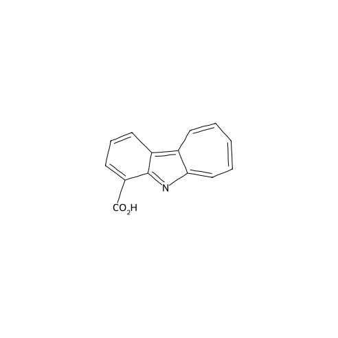 O=C(O)c1cccc2c3cccccc-3nc12